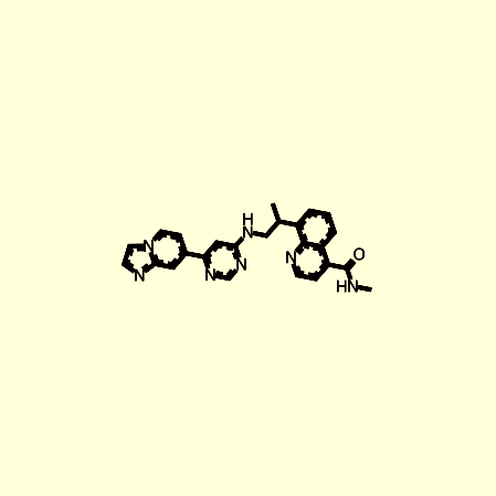 CNC(=O)c1ccnc2c(C(C)CNc3cc(-c4ccn5ccnc5c4)ncn3)cccc12